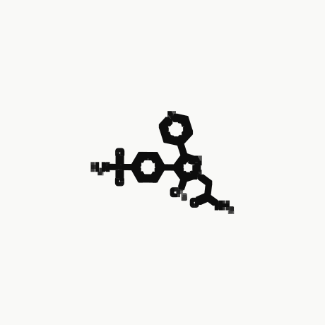 NC(=O)Cn1nc(-c2ccncc2)c(-c2ccc(S(N)(=O)=O)cc2)c1C(F)(F)F